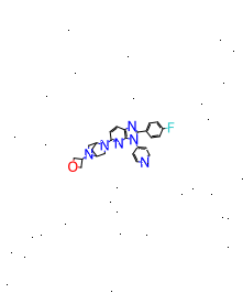 Fc1ccc(-c2nc3ccc(N4CC5CC4CN5C4COC4)nc3n2-c2ccncc2)cc1